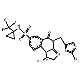 Cc1ncc(CN2C(=O)c3cc(S(=O)(=O)NC4(C(F)(F)F)CC4)ccc3N3C2=NC[C@H]3C)s1